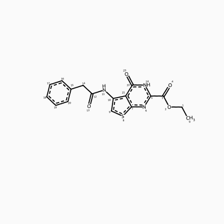 CCOC(=O)c1nc2scc(NC(=O)Cc3ccccc3)c2c(=O)[nH]1